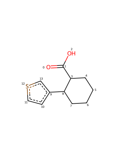 O=C(O)C1CCCCC1c1ccsc1